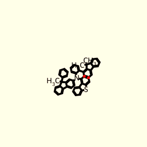 CC1(C)c2ccccc2-c2cccc(-c3ccccc3N(c3ccc4c(c3)C(C)(c3ccccc3)c3ccccc3-4)c3cccc4sc5ccccc5c34)c21